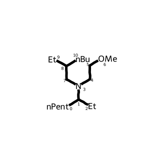 CCCCCC(CC)N(CCOC)CC(CC)CCCC